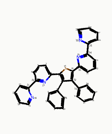 c1ccc(-c2c(-c3cccc(-c4ccccn4)n3)sc(-c3cccc(-c4ccccn4)n3)c2-c2ccccc2)cc1